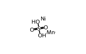 O=S(=O)(O)O.[Mn].[Ni]